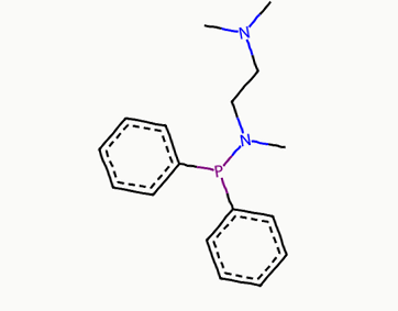 CN(C)CCN(C)P(c1ccccc1)c1ccccc1